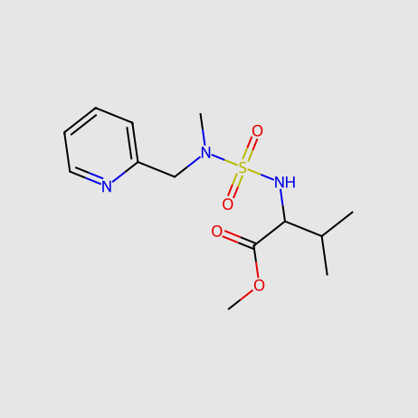 COC(=O)C(NS(=O)(=O)N(C)Cc1ccccn1)C(C)C